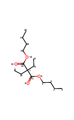 CCCCOC(=O)C(CC)(CC)C(=O)OCCCC